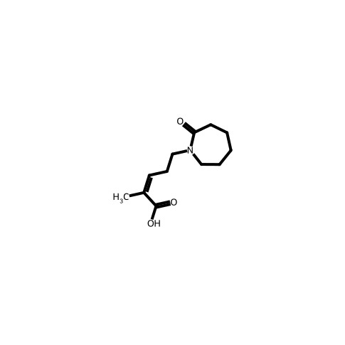 CC(=CCCN1CCCCCC1=O)C(=O)O